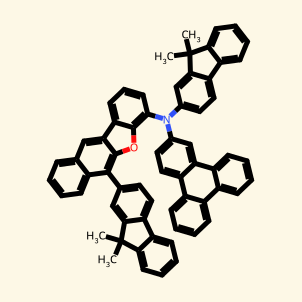 CC1(C)c2ccccc2-c2ccc(-c3c4ccccc4cc4c3oc3c(N(c5ccc6c(c5)C(C)(C)c5ccccc5-6)c5ccc6c7ccccc7c7ccccc7c6c5)cccc34)cc21